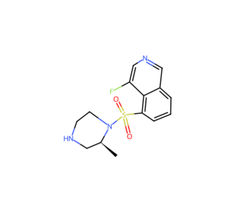 C[C@H]1CNCCN1S(=O)(=O)c1cccc2cncc(F)c12